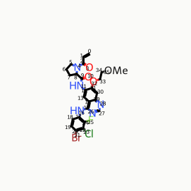 C=CC(=O)N1CCCC1C(=O)Nc1cc2c(Nc3ccc(Br)c(Cl)c3F)ncnc2cc1OCCOC